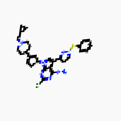 Nc1nc(Cl)nc2c1c(C1=NN(Sc3ccccc3)CC1)cn2C1CCC(C2CCN(CC3CC3)CC2)C1